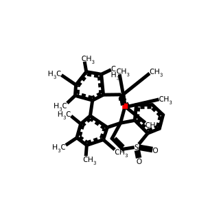 Cc1c(C)c(C)c2c(c1C)-c1c(C)c(C)c(C)c(C)c1C1(C=CS(=O)(=O)c3ccccc31)c1c(C)c(C)c(C)c(C)c1-2